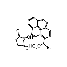 CCC(C(=O)O)c1ccc2ccc3cccc4ccc1c2c34.O=C1CCC(=O)N1O